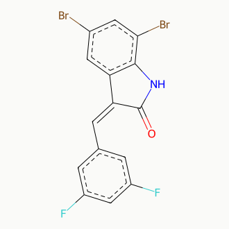 O=C1Nc2c(Br)cc(Br)cc2C1=Cc1cc(F)cc(F)c1